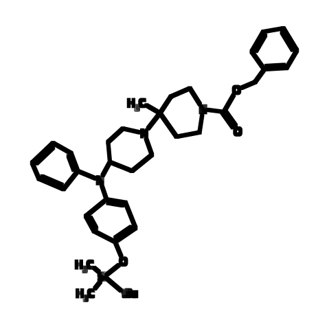 CC1(N2CCC(N(c3ccccc3)c3ccc(O[Si](C)(C)C(C)(C)C)cc3)CC2)CCN(C(=O)OCc2ccccc2)CC1